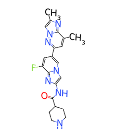 Cc1cn2nc(-c3cc(F)c4nc(NC(=O)C5CCNCC5)cn4c3)cc(C)c2n1